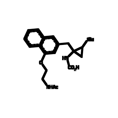 CC(=O)NCCOc1cc(CC2(NC(=O)O)CC2C(C)(C)C)cc2ccccc12